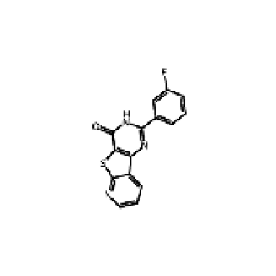 O=c1[nH]c(-c2cccc(F)c2)nc2c1sc1ncccc12